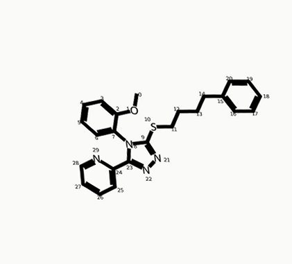 COc1ccccc1-n1c(SCCCCc2ccccc2)nnc1-c1ccccn1